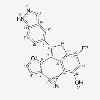 N#Cc1ccoc1C1=C(c2ccc3[nH]ncc3c2)Cc2c(F)cc(O)c(F)c21